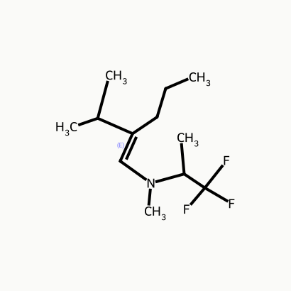 CCC/C(=C\N(C)C(C)C(F)(F)F)C(C)C